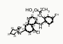 C[C@@H](Oc1cc(F)ccc1Nc1ncnc2cc(N=S3(=O)CCC3)cc(Cl)c12)C(=O)O